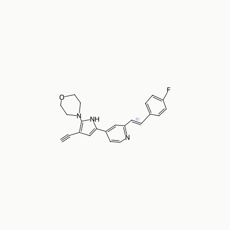 C#Cc1cc(-c2ccnc(/C=C/c3ccc(F)cc3)c2)[nH]c1N1CCOCC1